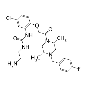 CC1CN(C(=O)COc2ccc(Cl)cc2NC(=O)NCCN)C(C)CN1Cc1ccc(F)cc1